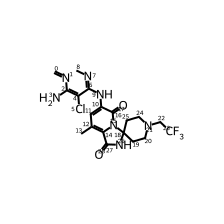 C=N/C(N)=C(Cl)\C(=N/C)Nc1cc(C)c2n(c1=O)C1(CCN(CC(F)(F)F)CC1)NC2=O